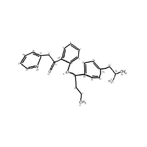 CCCC(Oc1ccccc1C(=O)Cc1ccccn1)c1ccc(CC(C)C)cc1